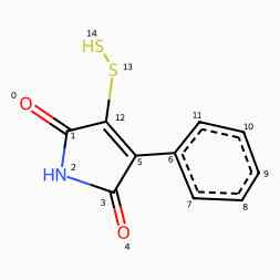 O=C1NC(=O)C(c2ccccc2)=C1SS